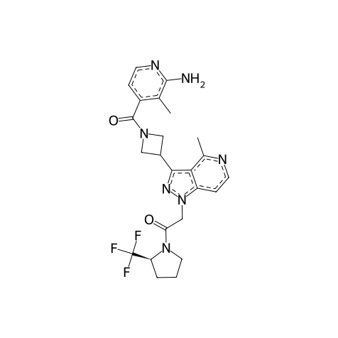 Cc1c(C(=O)N2CC(c3nn(CC(=O)N4CCC[C@H]4C(F)(F)F)c4ccnc(C)c34)C2)ccnc1N